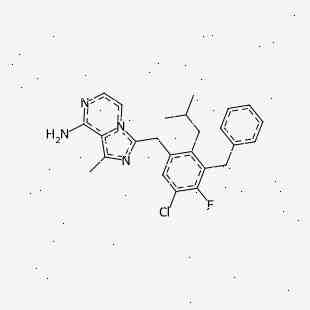 Cc1nc(Cc2cc(Cl)c(F)c(Cc3ccccc3)c2CC(C)C)n2ccnc(N)c12